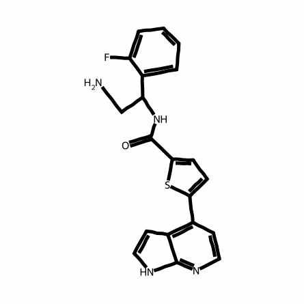 NCC(NC(=O)c1ccc(-c2ccnc3[nH]ccc23)s1)c1ccccc1F